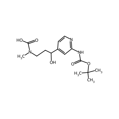 CN(CCC(O)c1ccnc(NC(=O)OC(C)(C)C)c1)C(=O)O